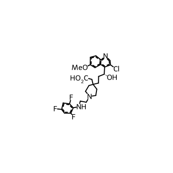 COc1ccc2ncc(Cl)c([C@H](O)CCC3(CC(=O)O)CCN(CCNc4c(F)cc(F)cc4F)CC3)c2c1